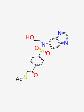 CC(=O)SCC(=O)c1ccc(S(=O)(=O)N(CCO)c2ccc3nccnc3c2)cc1